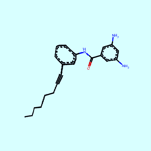 CCCCCCC#Cc1cccc(NC(=O)c2cc(N)cc(N)c2)c1